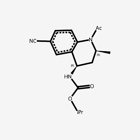 CC(=O)N1c2ccc(C#N)cc2[C@H](NC(=O)OC(C)C)C[C@@H]1C